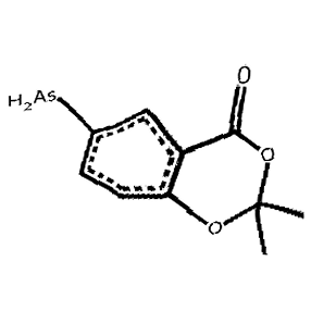 CC1(C)OC(=O)c2cc([AsH2])ccc2O1